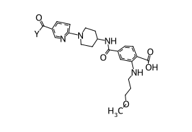 COCCCNc1cc(C(=O)NC2CCN(c3ccc([C](=O)[Y])cn3)CC2)ccc1C(=O)O